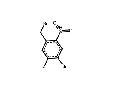 O=[SH](=O)c1cc(Br)c(F)cc1CBr